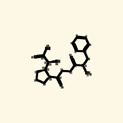 CN(Cc1ccccc1)C(=O)CCC(=O)N1CCC[C@H]1[C@H](O)C(=O)O